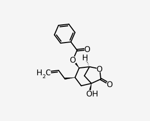 C=CC[C@@H]1C[C@]2(O)C[C@H](OC2=O)[C@@H]1OC(=O)c1ccccc1